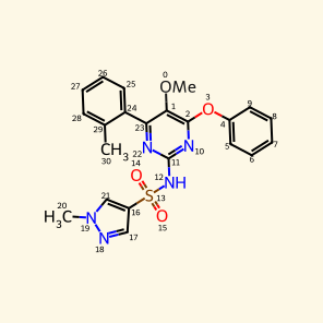 COc1c(Oc2ccccc2)nc(NS(=O)(=O)c2cnn(C)c2)nc1-c1ccccc1C